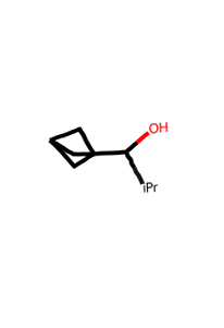 CC(C)C(O)C12CC(C1)C2